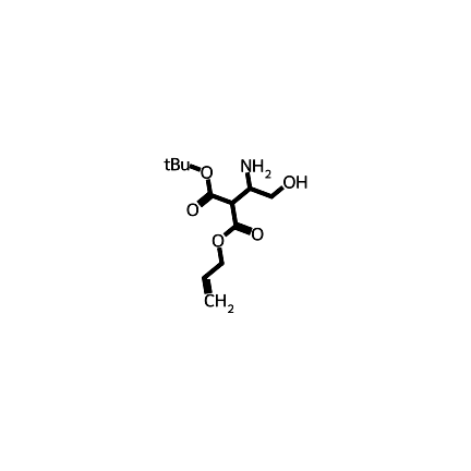 C=CCOC(=O)C(C(=O)OC(C)(C)C)C(N)CO